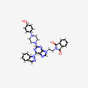 O=C1c2ccccc2C(=O)N1CCn1cnc2c(-n3ncc4ccccc43)nc(N3CCN(c4ccc(O)cc4)CC3)nc21